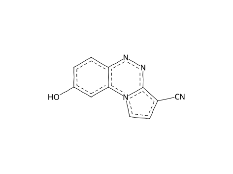 N#Cc1ccn2c1nnc1ccc(O)cc12